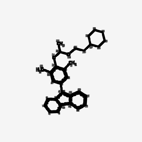 Cc1cc(-[s+]2c3ccccc3c3ccccc32)cc(C)c1OC(C)OCCC1CCCCC1